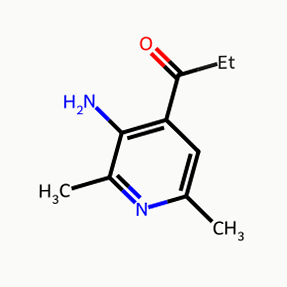 CCC(=O)c1cc(C)nc(C)c1N